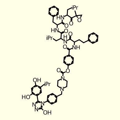 CC(C)CC(NC(=O)C(CCc1ccccc1)NC(=O)c1ccc(OC(=O)N2CCN(Cc3ccc(-n4c(O)nnc4-c4cc(C(C)C)c(O)cc4O)cc3)CC2)cc1)C(=O)NC(Cc1ccccc1)C(=O)NC(CC(C)C)C(=O)C1(C)CO1